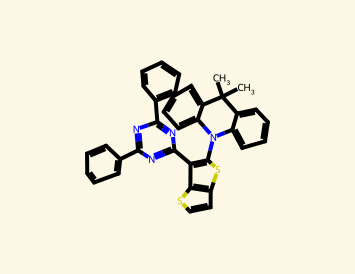 CC1(C)c2ccccc2N(c2sc3ccsc3c2-c2nc(-c3ccccc3)nc(-c3ccccc3)n2)c2ccccc21